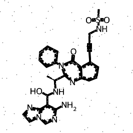 C[C@H](NC(O)c1c(N)ncn2ccnc12)c1nc2cccc(C#CCNS(C)(=O)=O)c2c(=O)n1-c1ccccc1